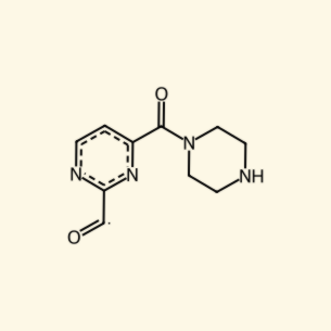 O=[C]c1nccc(C(=O)N2CCNCC2)n1